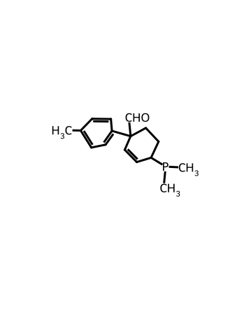 Cc1ccc(C2(C=O)C=CC(P(C)C)CC2)cc1